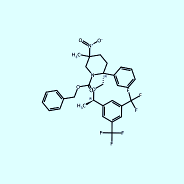 C[C@@H](OC[C@@]1(c2ccccc2)CCC(C)([N+](=O)[O-])CN1C(=O)OCc1ccccc1)c1cc(C(F)(F)F)cc(C(F)(F)F)c1